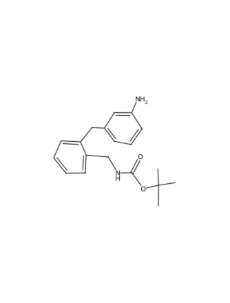 CC(C)(C)OC(=O)NCc1ccccc1Cc1cccc(N)c1